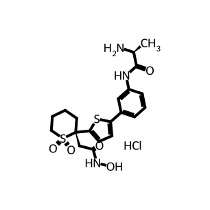 C[C@H](N)C(=O)Nc1cccc(-c2ccc([C@@]3(CC(=O)NO)CCCCS3(=O)=O)s2)c1.Cl